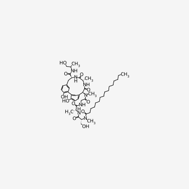 CCCCCCCCCCCCCCCC(=O)N(C)[C@H](CO)C(=O)N[C@H](C)C(=O)NCC(=O)N(C)[C@@H]1C(=O)N[C@@H](C)C(=O)N[C@H](C(=O)N[C@H](C)CO)Cc2ccc(O)c(c2)-c2cc1ccc2O